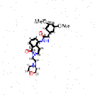 COc1cc(CC(=O)Nc2cccc3c(=O)n(CCN4CCOCC4)ccc23)cc(OC)c1